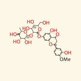 COc1ccc([C@@H]2CC(=O)c3c(O)cc(O[C@@H]4OC(CO)[C@@H](O)C(O)C4O[C@@H]4OC(C)[C@H](O)C(O)C4O)cc3O2)cc1O